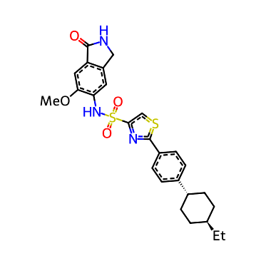 CC[C@H]1CC[C@H](c2ccc(-c3nc(S(=O)(=O)Nc4cc5c(cc4OC)C(=O)NC5)cs3)cc2)CC1